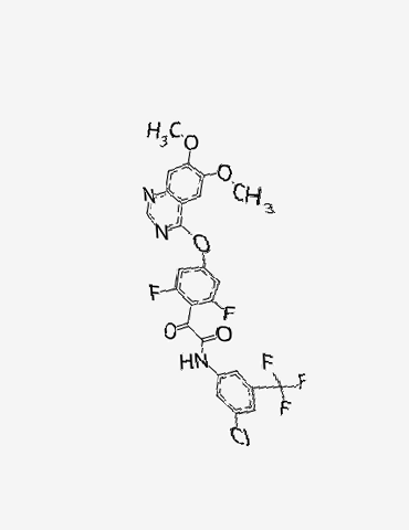 COc1cc2ncnc(Oc3cc(F)c(C(=O)C(=O)Nc4cc(Cl)cc(C(F)(F)F)c4)c(F)c3)c2cc1OC